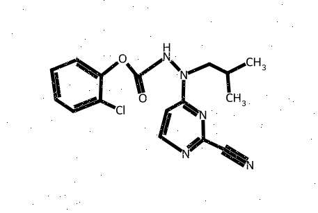 CC(C)CN(NC(=O)Oc1ccccc1Cl)c1ccnc(C#N)n1